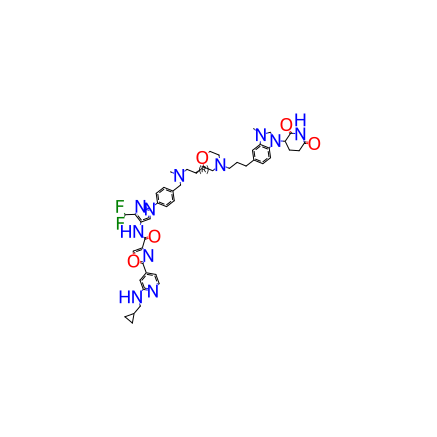 CN(CC[C@@H]1CN(CCCc2ccc3c(c2)N(C)CN3C2CCC(=O)NC2=O)CCO1)Cc1ccc(-n2cc(NC(=O)c3coc(-c4ccnc(NCC5CC5)c4)n3)c(C(F)F)n2)cc1